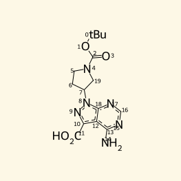 CC(C)(C)OC(=O)N1CCC(n2nc(C(=O)O)c3c(N)ncnc32)C1